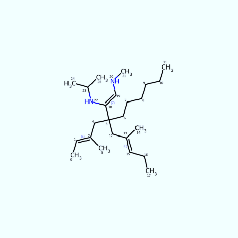 C/C=C(\C)CC(CCCCCC)(C/C(C)=C/CC)/C(=C/NC)NC(C)C